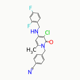 Cc1cc(NCc2ccc(F)cc2F)c(Cl)c(=O)n1Cc1ccc(C#N)cc1